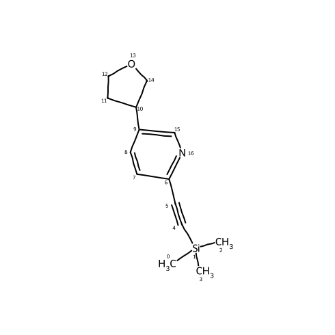 C[Si](C)(C)C#Cc1ccc(C2CCOC2)cn1